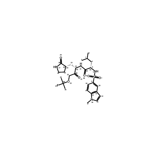 CC(C)C[C@H](NS(=O)(=O)c1ccc2c(ccn2C)c1)C(=O)N[C@@H](C[C@@H]1CCNC1=O)C(=O)COC(C)(C)F